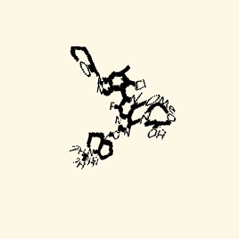 [2H]C([2H])([2H])N1CCC[C@@]2(COc3nc(N4CCOC[C@@](C)(O)C4)c4c(OC)nc(-c5c(Cl)c(C)cc6c5cnn6C5CCCCO5)c(F)c4n3)CCC[C@@H]12